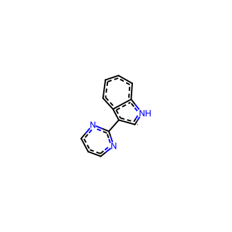 [c]1[nH]c2ccccc2c1-c1ncccn1